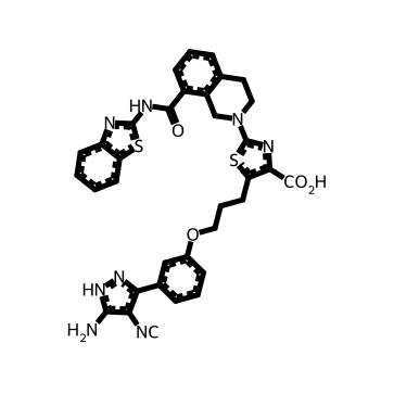 [C-]#[N+]c1c(-c2cccc(OCCCc3sc(N4CCc5cccc(C(=O)Nc6nc7ccccc7s6)c5C4)nc3C(=O)O)c2)n[nH]c1N